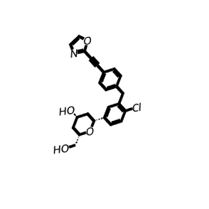 OC[C@@H]1C[C@H](O)C[C@H](c2ccc(Cl)c(Cc3ccc(C#Cc4ncco4)cc3)c2)O1